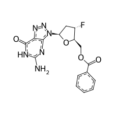 Nc1nc2c(nnn2[C@H]2C[C@H](F)[C@@H](COC(=O)c3ccccc3)O2)c(=O)[nH]1